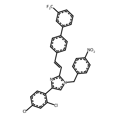 O=[N+]([O-])c1ccc(Cn2cc(-c3ccc(Cl)cc3Cl)nc2C=Cc2ccc(-c3cccc(C(F)(F)F)c3)cc2)cc1